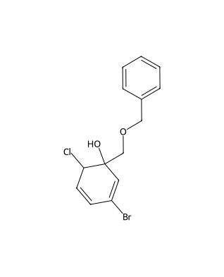 OC1(COCc2ccccc2)C=C(Br)C=CC1Cl